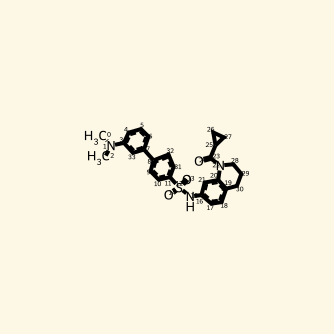 CN(C)c1cccc(-c2ccc(S(=O)(=O)Nc3ccc4c(c3)N(C(=O)C3CC3)CCC4)cc2)c1